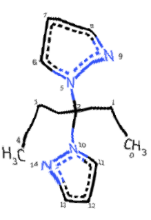 CCC(CC)(n1cccn1)n1cccn1